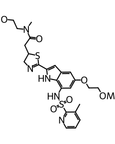 COCCOc1cc(NS(=O)(=O)c2ncccc2C)c2[nH]c(C3=NCC(CC(=O)N(C)CCO)S3)cc2c1